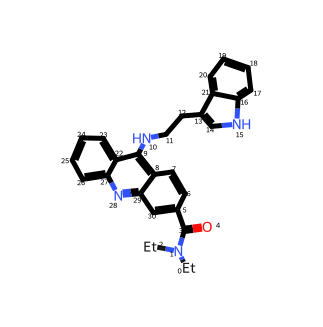 CCN(CC)C(=O)c1ccc2c(NCCc3c[nH]c4ccccc34)c3ccccc3nc2c1